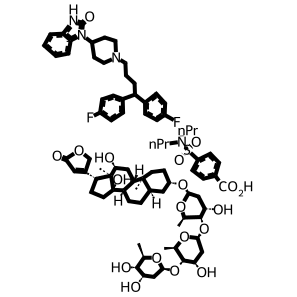 CCCN(CCC)S(=O)(=O)c1ccc(C(=O)O)cc1.C[C@H]1O[C@@H](O[C@H]2[C@@H](O)C[C@H](O[C@H]3[C@@H](O)C[C@H](O[C@H]4CC[C@@]5(C)[C@H](CC[C@@H]6[C@@H]5C[C@@H](O)[C@]5(C)[C@@H](C7=CC(=O)OC7)CC[C@]65O)C4)O[C@@H]3C)O[C@@H]2C)C[C@H](O)[C@@H]1O.O=c1[nH]c2ccccc2n1C1CCN(CCCC(c2ccc(F)cc2)c2ccc(F)cc2)CC1